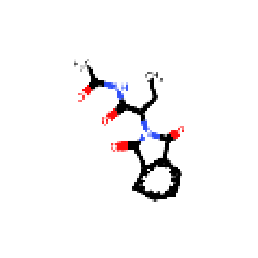 CCC(C(=O)NC(C)=O)N1C(=O)c2ccccc2C1=O